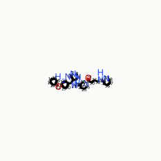 Nc1ncnc2c1c(-c1ccc(Oc3ccccc3)cc1)nn2[C@@H]1CCCN(C(=O)C=CCNc2ccccn2)C1